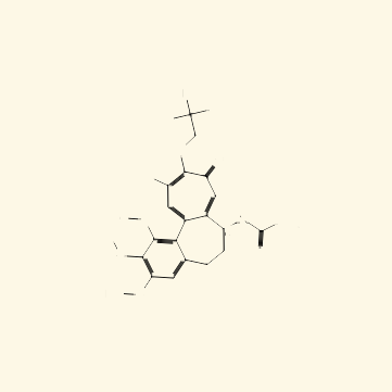 COc1cc2c(c(OC)c1OC)-c1cc(C)c(OCC(F)(F)F)c(=O)cc1[C@@H](NC(C)=O)CC2